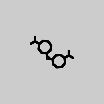 CC(C)C1CCCCC(OC2CCCCC(C(C)C)CC2)CC1